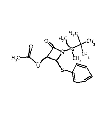 CC(=O)OC1C(=O)N([Si](C)(C)C(C)(C)C)C1Sc1ccccc1